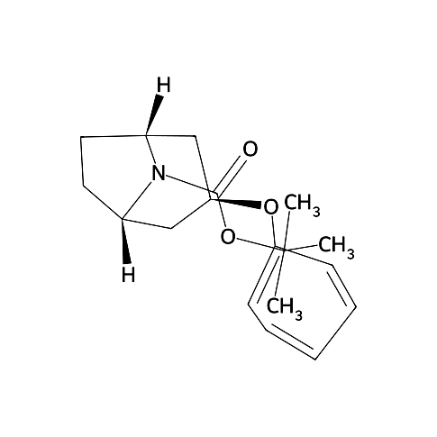 CC(C)(C)OC(=O)N1[C@@H]2CC[C@H]1C[C@H](Oc1ccccc1)C2